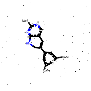 COc1cc(OC)cc(C2=Cc3cnc(SC)nc3NC2)c1